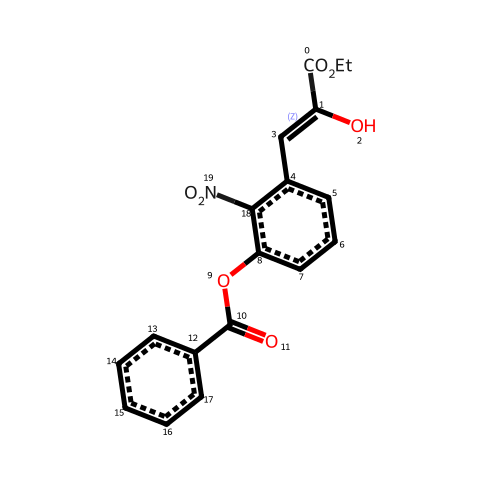 CCOC(=O)/C(O)=C/c1cccc(OC(=O)c2ccccc2)c1[N+](=O)[O-]